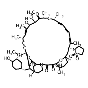 CO[C@@H]1C[C@H](CC2[C@H]3CCN4C(=O)C(=O)[C@]5(O)O[C@@H](CC[C@H]5C)C[C@@H](N5CCCS5(=O)=O)/C(C)=C/C=C/C=C/[C@@H](C)C[C@@H](C)C(=O)[C@H](OC)[C@H](O)/C(C)=C/[C@@H](C)CC[C@@H]2OC(=O)[C@@H]4C3)CC[C@H]1O